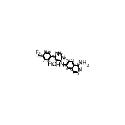 Nc1nccc2cc(Nc3ncnc(-c4ccc(CF)cc4)c3O)ccc12